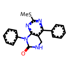 CSc1nc(-c2ccccc2)c2c(n1)N(c1ccccc1)C(=O)NC2